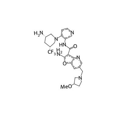 COC1CCN(Cc2cnc3c(C(=O)Nc4cnccc4N4C[C@@H](N)C[C@@H](C(F)(F)F)C4)c(N)oc3c2)C1